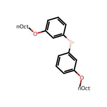 CCCCCCCCOc1cccc([B]c2cccc(OCCCCCCCC)c2)c1